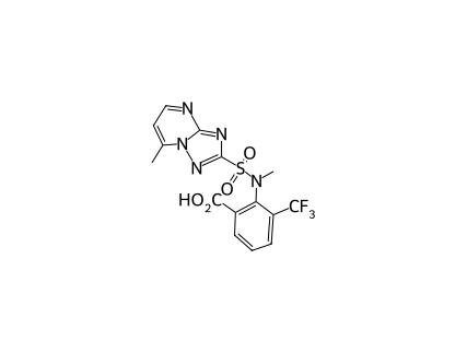 Cc1ccnc2nc(S(=O)(=O)N(C)c3c(C(=O)O)cccc3C(F)(F)F)nn12